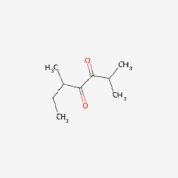 CCC(C)C(=O)C(=O)C(C)C